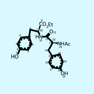 CCOC(=O)[C@H](Cc1ccc(O)cc1)NC(=O)[C@H](Cc1ccc(O)cc1)NC(C)=O